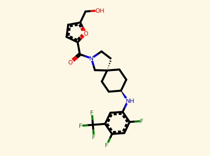 O=C(c1ccc(CO)o1)N1CC[C@]2(CC[C@H](Nc3cc(C(F)(F)F)c(F)cc3F)CC2)C1